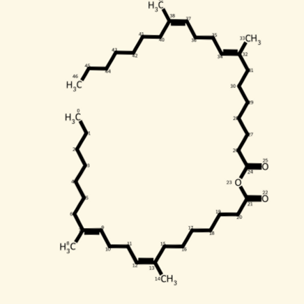 CCCCCCCC(C)=CCCC=C(C)CCCCCCC(=O)OC(=O)CCCCCCC(C)=CCCC=C(C)CCCCCCC